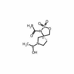 BC(=O)N1[C@@]2(CCN(B(C)O)C2)COS1(=O)=O